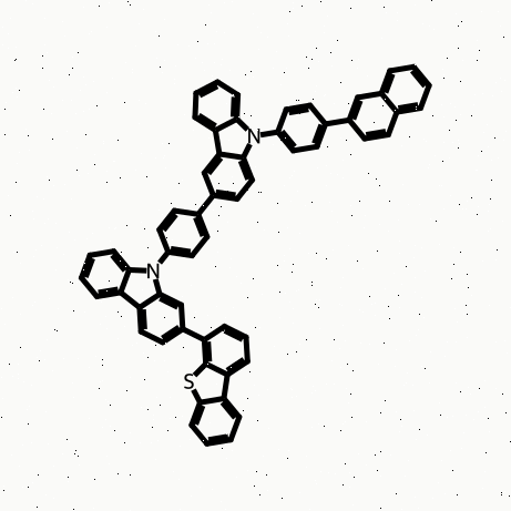 c1ccc2cc(-c3ccc(-n4c5ccccc5c5cc(-c6ccc(-n7c8ccccc8c8ccc(-c9cccc%10c9sc9ccccc9%10)cc87)cc6)ccc54)cc3)ccc2c1